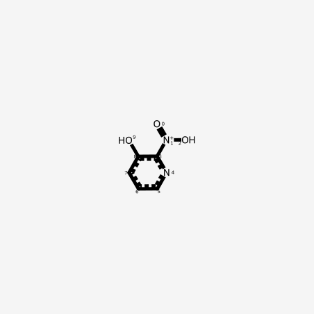 O=[N+](O)c1ncccc1O